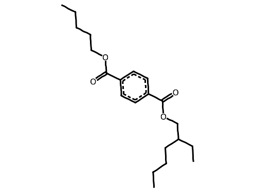 CCCCCOC(=O)c1ccc(C(=O)OCC(CC)CCCC)cc1